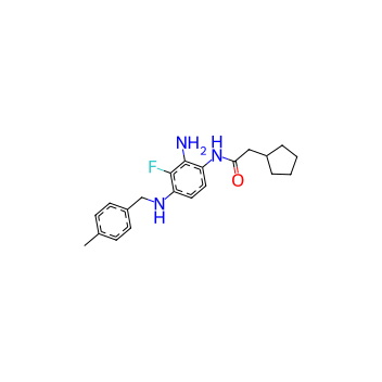 Cc1ccc(CNc2ccc(NC(=O)CC3CCCC3)c(N)c2F)cc1